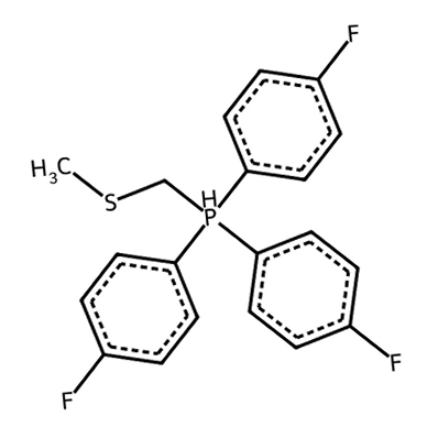 CSC[PH](c1ccc(F)cc1)(c1ccc(F)cc1)c1ccc(F)cc1